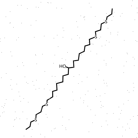 CCCSCCCSCCCCCCCCC(O)CCCCCCCCSCCCSCCC